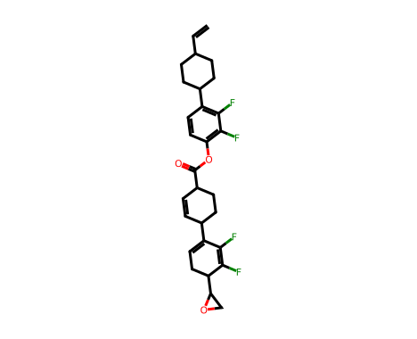 C=CC1CCC(c2ccc(OC(=O)C3C=CC(C4=CCC(C5CO5)C(F)=C4F)CC3)c(F)c2F)CC1